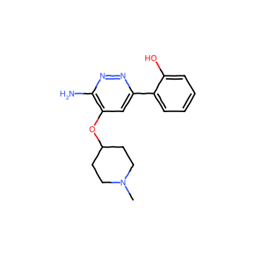 CN1CCC(Oc2cc(-c3ccccc3O)nnc2N)CC1